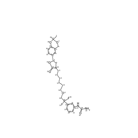 CC1(C)OCc2cc(C3CN(CCCCCCOCC(F)(F)c4cccc(NC(N)=O)c4)C(=O)O3)ccc2O1